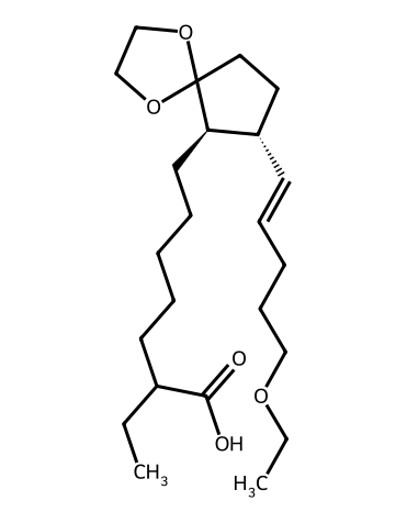 CCOCCCC=C[C@H]1CCC2(OCCO2)[C@@H]1CCCCCC(CC)C(=O)O